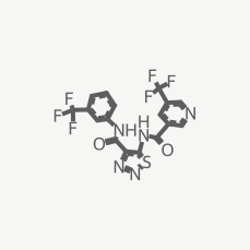 O=C(Nc1snnc1C(=O)Nc1cccc(C(F)(F)F)c1)c1cncc(C(F)(F)F)c1